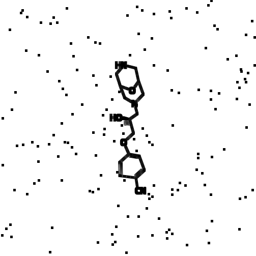 N#Cc1ccc(OC[C@@H](O)CN2CC3CNCC(C2)O3)cc1